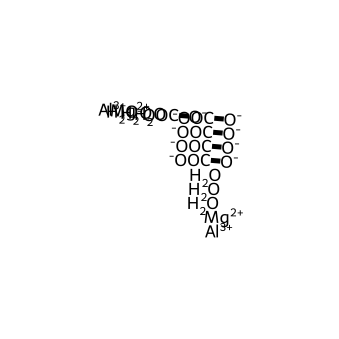 O.O.O.O.O.O.O=C([O-])[O-].O=C([O-])[O-].O=C([O-])[O-].O=C([O-])[O-].O=C([O-])[O-].[Al+3].[Al+3].[Mg+2].[Mg+2]